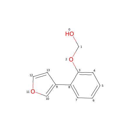 OCOc1ccccc1-c1[c]occ1